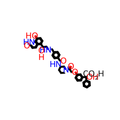 O=C(N[C@H]1CCCN(C(=O)COc2cccc(C(O)(C(=O)O)c3ccccc3)c2)C1)c1ccc(CNCC(O)c2ccc(O)c3[nH]c(=O)ccc23)cc1